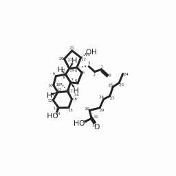 C=CCC[C@]12CC[C@H]3[C@@H](CC[C@H]4CC(O)CC[C@@]43C)[C@@H]1CC[C@@H]2O.CCCCCCCC(=O)O